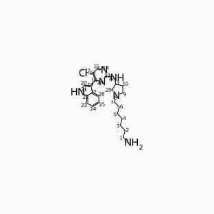 NCCCCCCCN1CCC(Nc2ncc(Cl)c(-c3c[nH]c4ccccc34)n2)C1